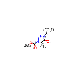 CCOC(=O)CNC(=O)[C@@H](NC(=O)OC(C)(C)C)[C@@H](C)CC